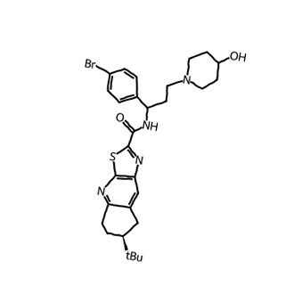 CC(C)(C)[C@H]1CCc2nc3sc(C(=O)NC(CCN4CCC(O)CC4)c4ccc(Br)cc4)nc3cc2C1